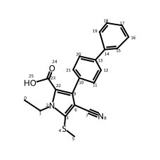 CCn1c(SC)c(C#N)c(-c2ccc(-c3ccccc3)cc2)c1C(=O)O